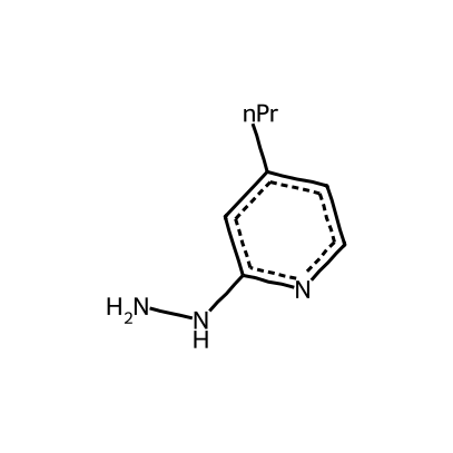 CCCc1ccnc(NN)c1